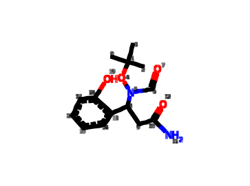 CC(C)(C)ON(C=O)C(CC(N)=O)c1ccccc1O